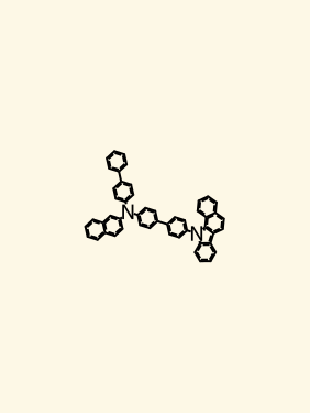 c1ccc(-c2ccc(N(c3ccc(-c4ccc(-n5c6ccccc6c6ccc7ccccc7c65)cc4)cc3)c3ccc4ccccc4c3)cc2)cc1